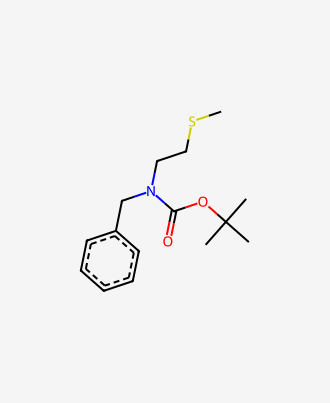 CSCCN(Cc1ccccc1)C(=O)OC(C)(C)C